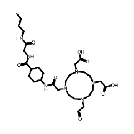 CCCCNC(=O)CNC(=O)C1CCC(NC(=O)CN2CCN(CC=O)CCN(CC(=O)O)CCN(CC(=O)O)CC2)CC1